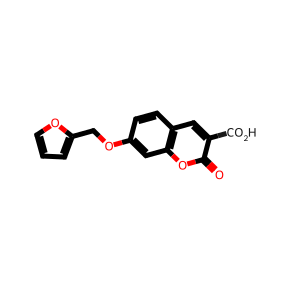 O=C(O)c1cc2ccc(OCc3ccco3)cc2oc1=O